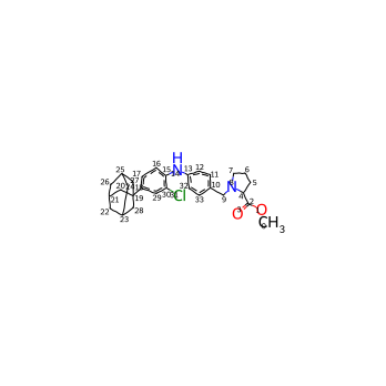 COC(=O)C1CCCN1Cc1ccc(Nc2ccc(C34CC5CC(CC(C5)C3)C4)cc2Cl)cc1